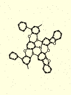 Cc1cc2c(c(-c3ccccc3)c1)Oc1cc3c4c5c1B2c1cc2c(oc6ccccc62)c2c1N5c1c(cc5c(oc6ccccc65)c1O2)B4c1cc(C)cc(-c2ccccc2)c1O3